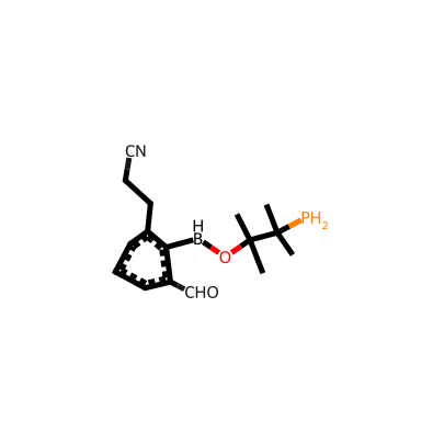 CC(C)(P)C(C)(C)OBc1c(C=O)cccc1CCC#N